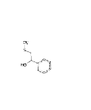 N#CSCC(O)c1ccccc1